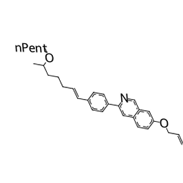 C=CCOc1ccc2cc(-c3ccc(C=CCCCC(C)OCCCCC)cc3)ncc2c1